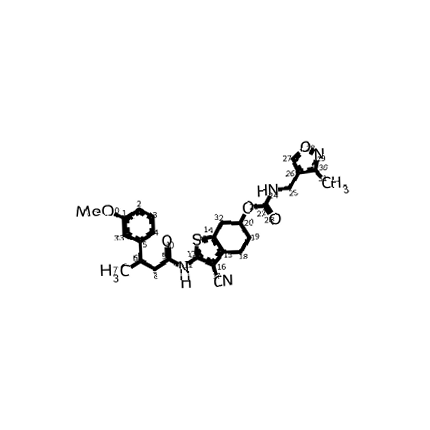 COc1cccc(C(C)CC(=O)Nc2sc3c(c2C#N)CCC(OC(=O)NCc2conc2C)C3)c1